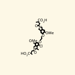 COc1cc2c(cc1OCCCOc1c(Cl)c3c(c(C)c1OC)CN(C(=O)C[C@H](C)C(=O)O)C3C)CN(C(=O)C[C@H](C)C(=O)O)C2